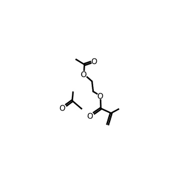 C=C(C)C(=O)OCCOC(C)=O.CC(C)=O